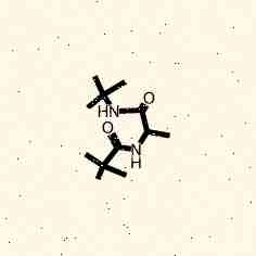 CC(NC(=O)C(C)(C)C)C(=O)NC(C)(C)C